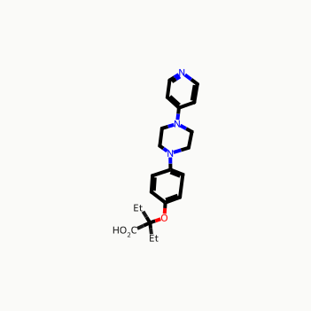 CCC(CC)(Oc1ccc(N2CCN(c3ccncc3)CC2)cc1)C(=O)O